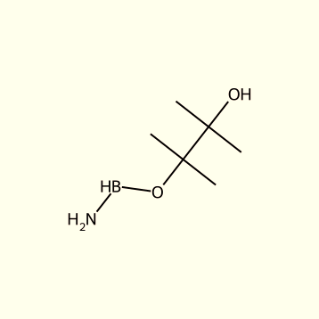 CC(C)(O)C(C)(C)OBN